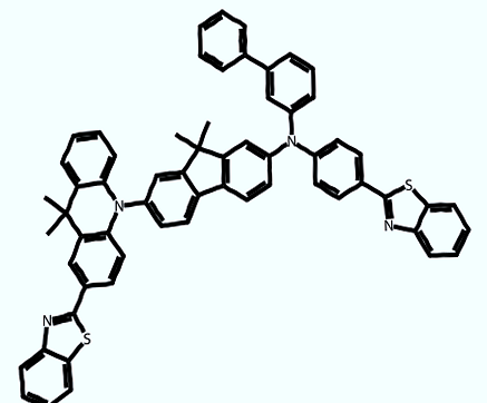 CC1(C)c2cc(N(c3ccc(-c4nc5ccccc5s4)cc3)c3cccc(-c4ccccc4)c3)ccc2-c2ccc(N3c4ccccc4C(C)(C)c4cc(-c5nc6ccccc6s5)ccc43)cc21